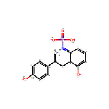 CC(CC1C(O)=CC=CC1=NP(=O)(O)O)c1ccc(O)cc1